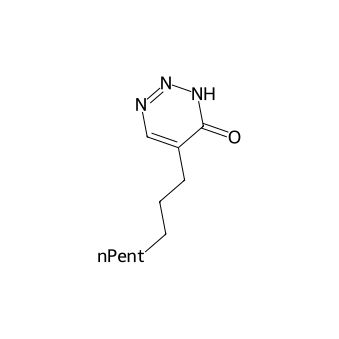 CCCCCCCCc1cnn[nH]c1=O